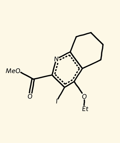 CCOc1c(I)c(C(=O)OC)nc2c1CCCC2